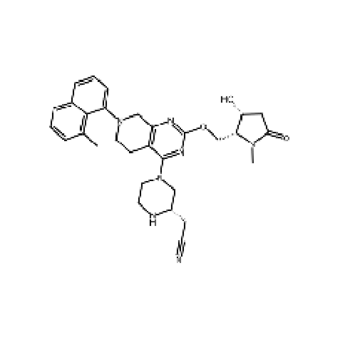 Cc1cccc2cccc(N3CCc4c(nc(OC[C@@H]5[C@H](O)CC(=O)N5C)nc4N4CCN[C@@H](CC#N)C4)C3)c12